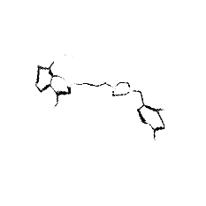 CC(=O)c1cn(CCCN2CCN(Cc3ccc(Cl)cc3Cl)CC2)c2c(C#N)cccc12